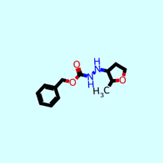 CC1OCCC1NNC(=O)OCc1ccccc1